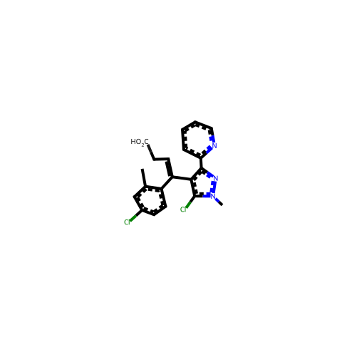 Cc1cc(Cl)ccc1C(=CCC(=O)O)c1c(-c2ccccn2)nn(C)c1Cl